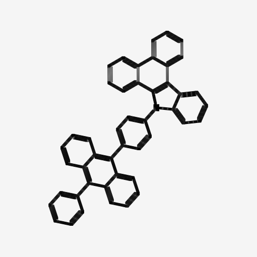 c1ccc(-c2c3ccccc3c(-c3ccc(-n4c5ccccc5c5c6ccccc6c6ccccc6c54)cc3)c3ccccc23)cc1